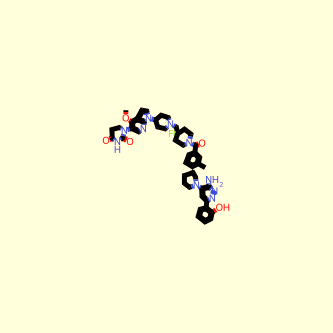 COc1c(N2CCC(=O)NC2=O)cnc2c1ccn2C1CCN(CC2(F)CCN(C(=O)c3ccc([C@H]4CCCN(c5cc(-c6ccccc6O)nnc5N)C4)c(C)c3)CC2)CC1